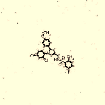 COc1ccc(C2CC(CNS(=O)(=O)c3cc(F)ccc3C)=NN2c2ccc(Cl)cc2Cl)cc1